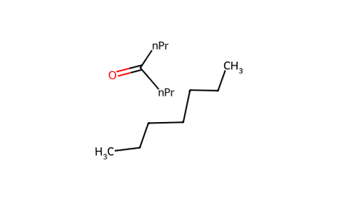 CCCC(=O)CCC.CCCCCCC